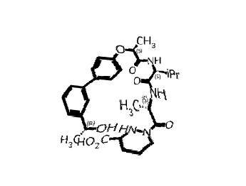 CC(C)[C@H](NC(=O)[C@H](C)Oc1ccc(-c2cccc([C@@H](C)O)c2)cc1)C(=O)N[C@@H](C)C(=O)N1CCCC(C(=O)O)N1